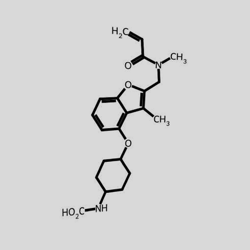 C=CC(=O)N(C)Cc1oc2cccc(OC3CCC(NC(=O)O)CC3)c2c1C